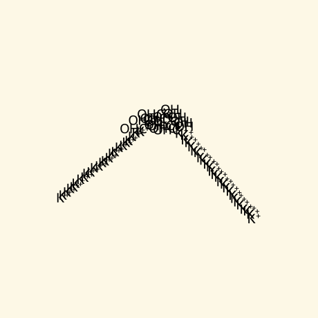 O=CO.O=CO.O=CO.O=CO.O=CO.O=CO.O=CO.O=CO.[K+].[K+].[K+].[K+].[K+].[K+].[K+].[K+].[K+].[K+].[K+].[K+].[K+].[K+].[K+].[K+].[K+].[K+].[K+].[K+].[K+].[K+].[K+].[K+].[K+].[K+].[K+].[K+].[K+].[K+].[K+].[K+].[K+].[K+].[K+].[K+].[K+].[K+].[K+].[K+].[K+].[K+].[K+].[K+].[K+].[K+].[K+].[K+].[K+].[K+]